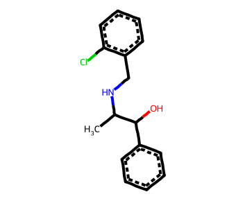 CC(NCc1ccccc1Cl)C(O)c1ccccc1